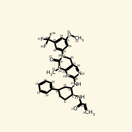 C=CC(=O)N[C@H]1CCC(c2ccccc2)C[C@H]1Nc1ncc2c(n1)N(C)C(=O)N(c1cc(OC)cc(C(F)(F)F)c1)C2